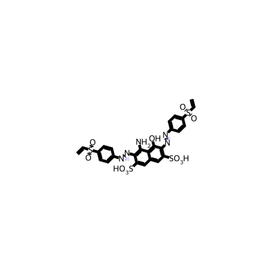 C=CS(=O)(=O)c1ccc(/N=N/c2c(S(=O)(=O)O)cc3cc(S(=O)(=O)O)c(/N=N/c4ccc(S(=O)(=O)C=C)cc4)c(O)c3c2N)cc1